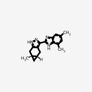 Cc1cc(C)c2[nH]c(-c3n[nH]c4c3C[C@@H]3C[C@]3(C)C4)nc2c1